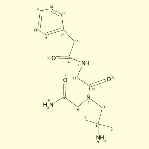 CC(C)(N)CN(CC(N)=O)C(=O)CNC(=O)Cc1ccccc1